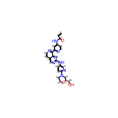 C=CC(=O)Nc1ccnc(-c2nccc3cnc(Nc4ccc(N5CCO[C@H](CO)C5)nc4)nc23)c1